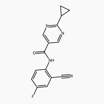 N#Cc1cc(F)ccc1NC(=O)c1cnc(C2CC2)nc1